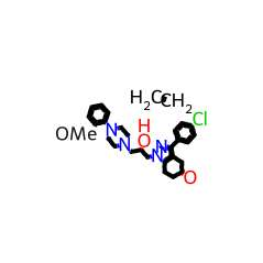 C=C.COc1ccccc1N1CCN(CC(O)Cn2nc(-c3ccc(Cl)cc3)c3c2CCC(=O)C3)CC1